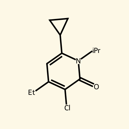 CCc1cc(C2CC2)n(C(C)C)c(=O)c1Cl